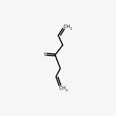 C=CCC(=S)CC=C